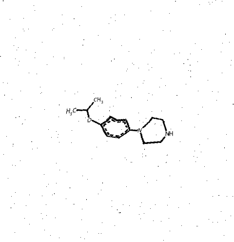 CC(C)Oc1ccc(N2CCNCC2)cc1